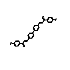 O=C(/C=C/c1ccc(-c2ccc(/C=C/C(=O)c3ccc(F)cc3)cc2)cc1)c1ccc(F)cc1